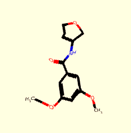 COc1cc(OC)cc(C(=O)NC2CCOC2)c1